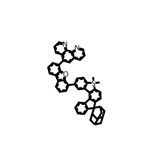 CS1(C)c2ccc(-c3cccc4c3oc3c(-c5cc6cccnc6c6ncccc56)cccc34)cc2-c2c1ccc1c2-c2ccccc2C12C1CC3CC(C1)CC2C3